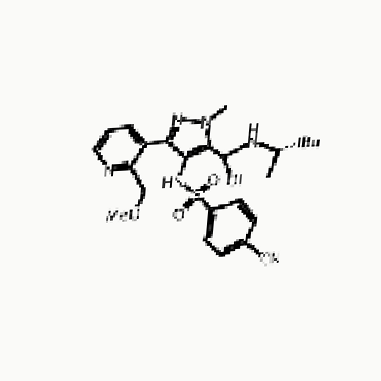 COCc1ncccc1-c1nn(C)c(C(O)N[C@@H](C)C(C)(C)C)c1NS(=O)(=O)c1ccc(C#N)cc1